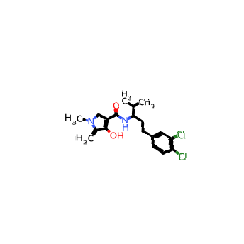 C=C1C(O)=C(C(=O)NC(CCc2ccc(Cl)c(Cl)c2)C(C)C)CN1C